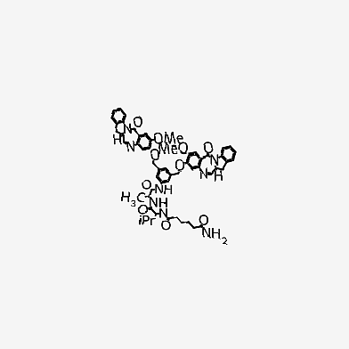 COc1cc2c(cc1OCc1cc(COc3cc4c(cc3OC)C(=O)N3c5ccccc5C[C@H]3C=N4)cc(NC(=O)[C@H](C)NC(=O)[C@@H](NC(=O)CCCCC(N)=O)C(C)C)c1)N=C[C@@H]1Cc3ccccc3N1C2=O